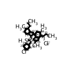 CCCc1c(C)ccc2c1C=C(C)[CH]2[Zr+2](=[SiH2])([CH2]c1ccccc1)[CH]1C(C)=Cc2c1ccc(C)c2CCC.[Cl-].[Cl-]